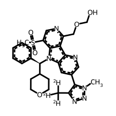 [2H]C([2H])([2H])c1nnn(C)c1-c1cnc2c3c(COCO)ncc(S(C)(=O)=O)c3n([C@H](c3ccccc3)C3CCOCC3)c2c1